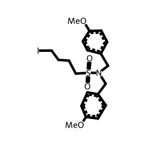 COc1ccc(CN(Cc2ccc(OC)cc2)S(=O)(=O)CCCCI)cc1